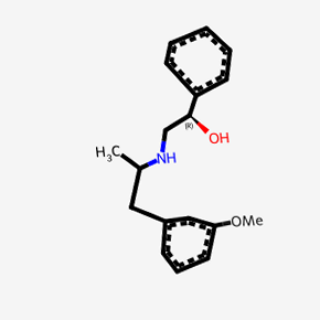 COc1cccc(CC(C)NC[C@H](O)c2ccccc2)c1